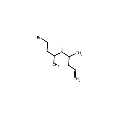 C=CCC(C)NC(C)CCC(C)(C)C